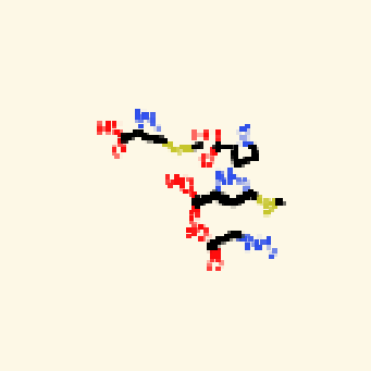 CSCC[C@H](N)C(=O)O.CSCC[C@H](N)C(=O)O.NCC(=O)O.O=C(O)[C@@H]1CCCN1